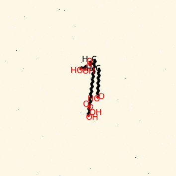 CCC(CCCCCCCCCCCCCCCC(=O)OCC(O)CO)C(=O)OCC(O)CO.CCCCCCCCCCCC(=O)O